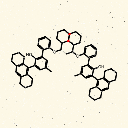 Cc1cc(-c2ccccc2OC(C[C@H](Oc2ccccc2-c2cc(C)cc(-c3c4c(cc5c3CCCC5)CCCC4)c2O)C2CCCCC2)C2CCCCC2)c(O)c(-c2c3c(cc4c2CCCC4)CCCC3)c1